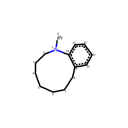 CC(C)N1CCCCCCCc2ccccc21